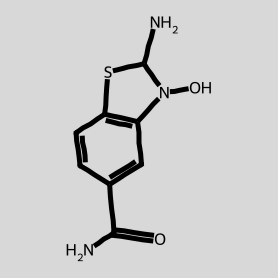 NC(=O)c1ccc2c(c1)N(O)C(N)S2